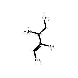 C/C=C(\S)C(N)CC